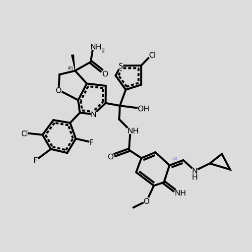 COC1=CC(C(=O)NCC(O)(c2csc(Cl)c2)c2cc3c(c(-c4cc(Cl)c(F)cc4F)n2)OC[C@]3(C)C(N)=O)=C/C(=C/NC2CC2)C1=N